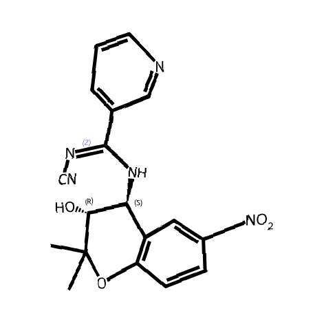 CC1(C)Oc2ccc([N+](=O)[O-])cc2[C@H](N/C(=N\C#N)c2cccnc2)[C@H]1O